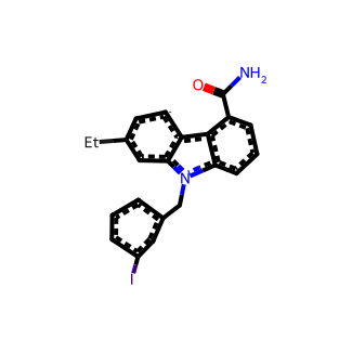 CCc1c[c]c2c3c(C(N)=O)cccc3n(Cc3cccc(I)c3)c2c1